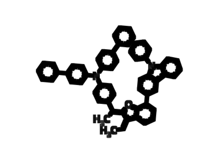 C/C=c1\c(=C(/C)c2ccc(N(c3ccc(-c4ccccc4)cc3)c3ccc(-c4ccccc4)cc3)cc2)oc2c(-c3ccc4c(c3)c3ccccc3n4-c3ccccc3)cccc12